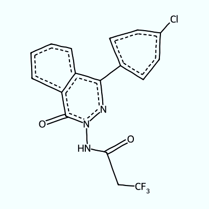 O=C(CC(F)(F)F)Nn1nc(-c2ccc(Cl)cc2)c2ccccc2c1=O